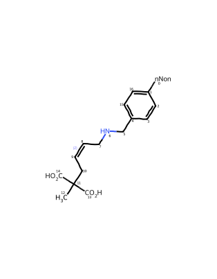 CCCCCCCCCc1ccc(CNC/C=C\CC(C)(C(=O)O)C(=O)O)cc1